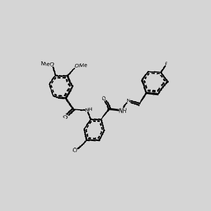 COc1ccc(C(=O)Nc2cc(Cl)ccc2C(=O)NN=Cc2ccc(F)cc2)cc1OC